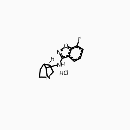 Cl.Fc1cccc2c(N[C@H]3CN4CCC3CC4)noc12